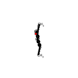 CCCCCCCCOc1ccc(-c2ccc(C(=O)Oc3ccc(C(=O)OC(CCCCCOCC)C(F)(F)F)cc3)cc2)cc1